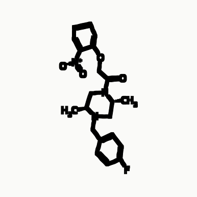 C[C@@H]1CN(Cc2ccc(F)cc2)[C@@H](C)CN1C(=O)COc1ccccc1[N+](=O)[O-]